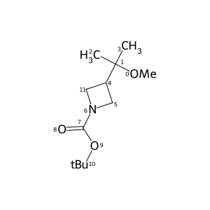 COC(C)(C)C1CN(C(=O)OC(C)(C)C)C1